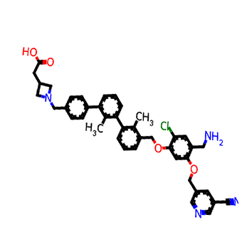 Cc1c(COc2cc(OCc3cncc(C#N)c3)c(CN)cc2Cl)cccc1-c1cccc(-c2ccc(CN3CC(CC(=O)O)C3)cc2)c1C